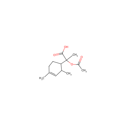 CC(=O)OC(C)(C(=O)O)C1CCC(C)=CC1C